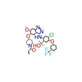 C=CC(=O)N1CCC(Oc2cc3c(Nc4cc(Cl)c(Oc5cccc(C(F)(F)F)c5)cc4C(C)(C)O)ncnc3cc2OC)CC1